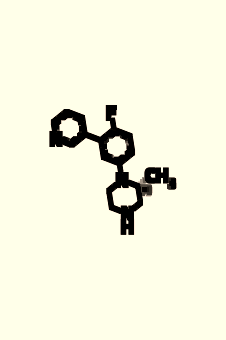 C[C@@H]1CNCCN1c1ccc(F)c(-c2cccnc2)c1